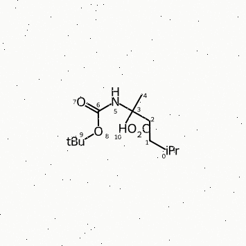 CC(C)CCC(C)(NC(=O)OC(C)(C)C)C(=O)O